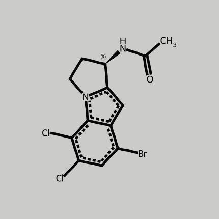 CC(=O)N[C@@H]1CCn2c1cc1c(Br)cc(Cl)c(Cl)c12